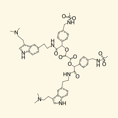 CN(C)CCc1c[nH]c2ccc(CCNC(=O)C(OC(=O)C(=O)OC(C(=O)NCCc3ccc4[nH]cc(CCN(C)C)c4c3)c3ccc(CNS(C)(=O)=O)cc3)c3ccc(CNS(C)(=O)=O)cc3)cc12